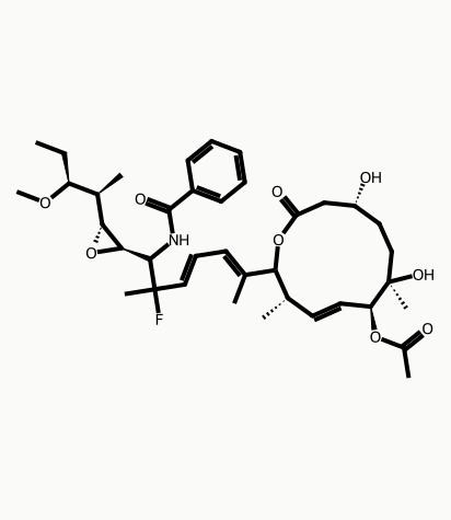 CC[C@H](OC)[C@@H](C)[C@H]1O[C@@H]1C(NC(=O)c1ccccc1)C(C)(F)/C=C/C=C(\C)C1OC(=O)C[C@H](O)CC[C@@](C)(O)[C@@H](OC(C)=O)/C=C/[C@@H]1C